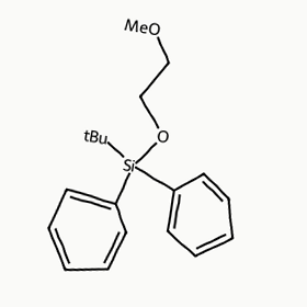 COCCO[Si](c1ccccc1)(c1ccccc1)C(C)(C)C